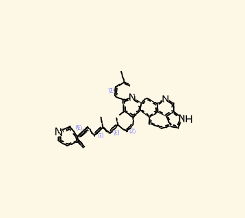 C=C(C)/C=C\c1nc2cc3ncc4[nH]cc5ccc(c2c(\C=C/C(C)=C/C(C)=C/C=c2/cnccc2=C)c1C)c3c54